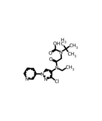 CCN(C(=O)CN(C(=O)O)C(C)(C)C)c1cn(-c2cccnc2)nc1Cl